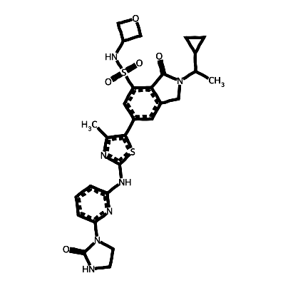 Cc1nc(Nc2cccc(N3CCNC3=O)n2)sc1-c1cc2c(c(S(=O)(=O)NC3COC3)c1)C(=O)N(C(C)C1CC1)C2